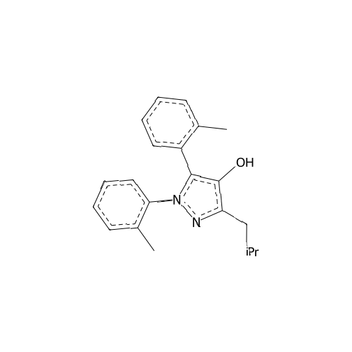 Cc1ccccc1-c1c(O)c(CC(C)C)nn1-c1ccccc1C